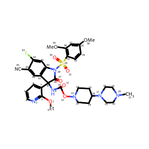 CCOc1ncccc1C1(NC(=O)ON2CCC(N3CCN(C)CC3)CC2)C(=O)N(S(=O)(=O)c2ccc(OC)cc2OC)c2cc(F)c(C#N)cc21